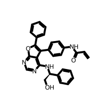 C=CC(=O)Nc1ccc(-c2c(-c3ccccc3)oc3ncnc(N[C@H](CO)c4ccccc4)c23)cc1